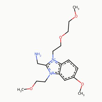 COCCOCC[n+]1c(CN)n(CCOC)c2cc(OC)ccc21